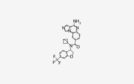 Nc1nc2ccc(C(=O)N(C3COc4cc(C(F)(F)F)ccc43)C34CC(C3)C4)cc2n2cncc12